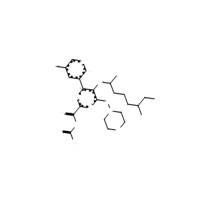 CCC(C)CCCC(C)Nc1c(NN2CCOCC2)nc(C(=N)OC(N)=O)nc1-c1cncc(Cl)c1